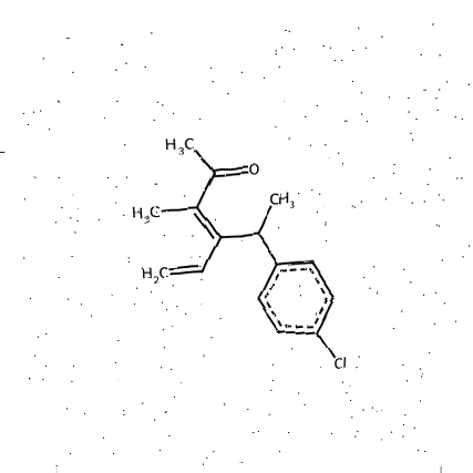 C=C/C(=C(\C)C(C)=O)C(C)c1ccc(Cl)cc1